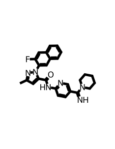 Cc1cc(C(=O)Nc2ccc(C(=N)N3CCCCC3)cn2)n(-c2cc3ccccc3cc2F)n1